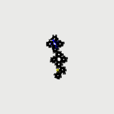 C1=CB2N(C=C1)B1C=CC=CN1B1C=CC(c3ccc4c(c3)-c3ccccc3-c3ccc(-c5cccc6c5sc5ccccc56)cc3-c3ccccc3-4)=CN1B1C=CC=CN21